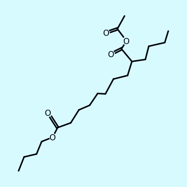 CCCCOC(=O)CCCCCCCC(CCCC)C(=O)OC(C)=O